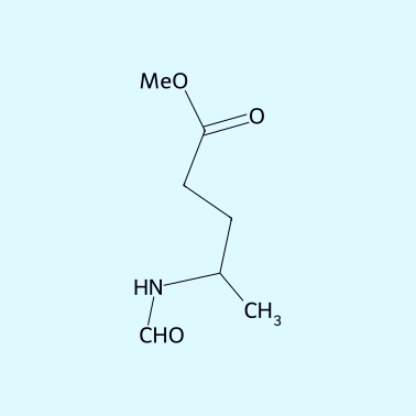 COC(=O)CCC(C)NC=O